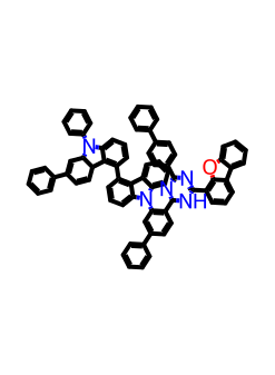 C1=CC2c3c(-c4cccc5c4c4ccccc4n5-c4cc(-c5ccccc5)ccc4C4N=C(c5ccc(-c6ccccc6)cc5)N=C(c5cccc6c5oc5ccccc56)N4)cccc3N(c3ccccc3)C2C=C1c1ccccc1